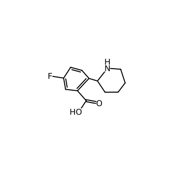 O=C(O)c1cc(F)ccc1C1CCCCN1